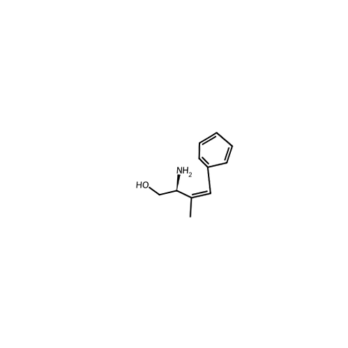 CC(=Cc1ccccc1)[C@H](N)CO